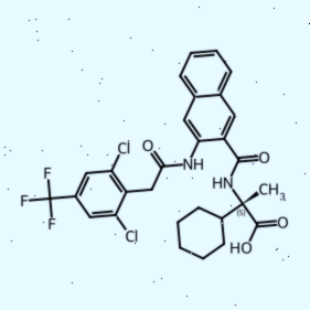 C[C@@](NC(=O)c1cc2ccccc2cc1NC(=O)Cc1c(Cl)cc(C(F)(F)F)cc1Cl)(C(=O)O)C1CCCCC1